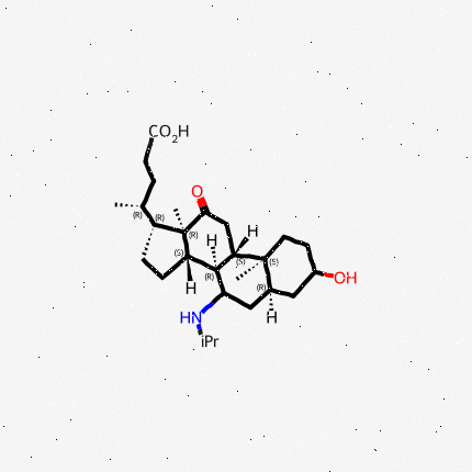 CC(C)NC1C[C@@H]2CC(O)CC[C@]2(C)[C@H]2CC(=O)[C@]3(C)[C@@H]([C@H](C)CCC(=O)O)CC[C@H]3[C@H]12